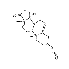 C[C@]12CC[C@H](OC=O)CC1=CCC1C2CC[C@]2(C)C(=O)CC[C@@H]12